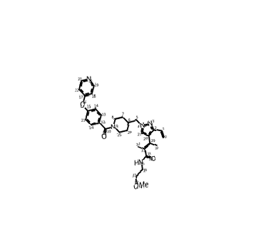 C=Cc1nn(CC2CCN(C(=O)c3ccc(Oc4ccncc4)cc3)CC2)cc1/C(C)=C(\C)C(=O)NCCOC